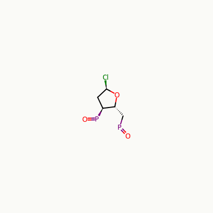 O=PC[C@H]1O[C@H](Cl)C[C@@H]1P=O